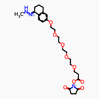 CN/N=C1\CCCc2cc(OCCOCCOCCOCCOCCC(=O)ON3C(=O)CCC3=O)ccc21